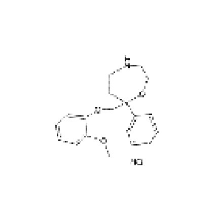 COc1ccccc1OCC1(c2ccccc2)CCNCCO1.Cl